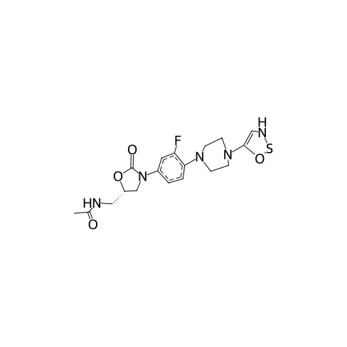 CC(=O)NC[C@H]1CN(c2ccc(N3CCN(C4=CNSO4)CC3)c(F)c2)C(=O)O1